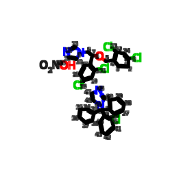 Clc1ccc(COC(Cn2ccnc2)c2ccc(Cl)cc2Cl)c(Cl)c1.Clc1ccccc1C(c1ccccc1)(c1ccccc1)n1ccnc1.O=[N+]([O-])O